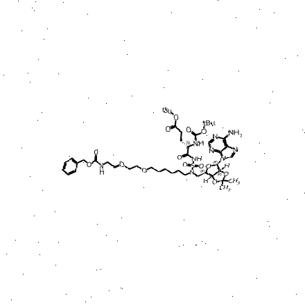 CC(C)(C)OC(=O)CC[C@H](NC(=O)OC(C)(C)C)C(=O)NS(=O)(=O)N(CCCCCCOCCOCCNC(=O)OCc1ccccc1)C[C@H]1O[C@@H](n2cnc3c(N)ncnc32)[C@@H]2OC(C)(C)O[C@@H]21